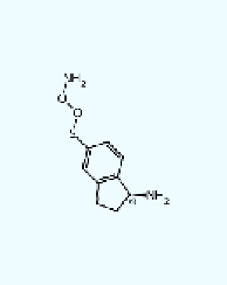 NOOSc1ccc2c(c1)CC[C@@H]2N